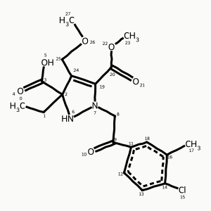 CCC1(C(=O)O)NN(CC(=O)c2ccc(Cl)c(C)c2)C(C(=O)OC)=C1COC